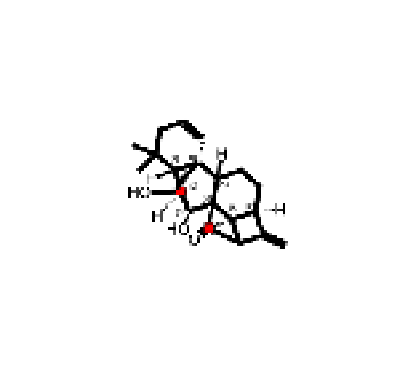 C=C1C2C(=O)[C@]34[C@H]2[C@H]1CC[C@H]3[C@]12C=CCC(C)(C)[C@H]1[C@H](O)[C@@]4(O)OC2